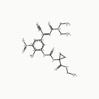 CCOC(=O)C1(OC(=O)Oc2cc(C(C#N)=CC(=O)N(CC)CC)cc([N+](=O)[O-])c2O)CC1